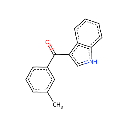 Cc1cccc(C(=O)c2c[nH]c3ccccc23)c1